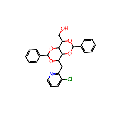 OCC1OC(c2ccccc2)OC2C(Cc3ncccc3Cl)OC(c3ccccc3)OC12